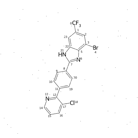 FC(F)(F)c1cc(Br)c2nc(-c3ccc(-c4ncccc4Cl)cc3)[nH]c2c1